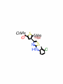 Br.COC(=O)c1cc(-c2csc(Nc3cccc(Cl)c3C)n2)c(SC)s1